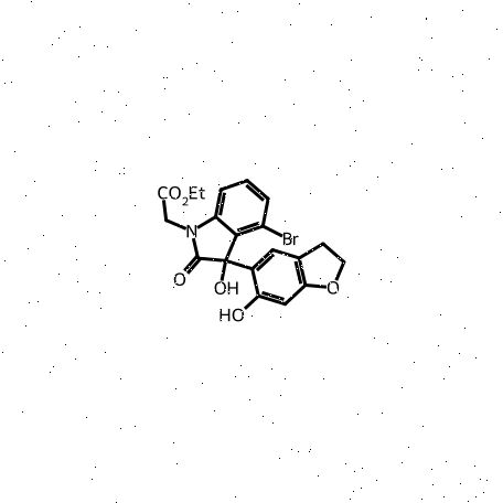 CCOC(=O)CN1C(=O)C(O)(c2cc3c(cc2O)OCC3)c2c(Br)cccc21